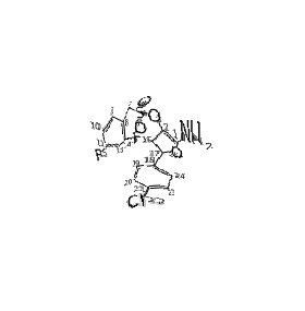 NC1=C(OS(=O)(=O)Cc2ccc(F)cc2F)CC(c2ccc(Cl)cc2)O1